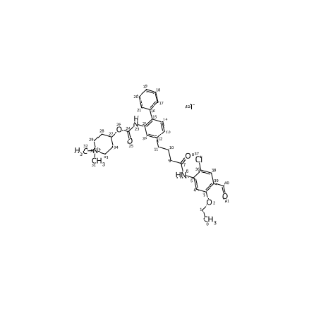 CCOc1cc(NC(=O)CCCc2ccc(-c3ccccc3)c(NC(=O)OC3CC[N+](C)(C)CC3)c2)c(Cl)cc1C=O.[I-]